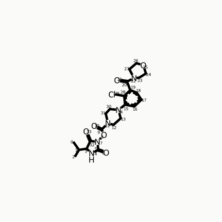 CC(C)C1NC(=O)N(OC(=O)N2CCN(c3cccc(C(=O)N4CCOCC4)c3Cl)CC2)C1=O